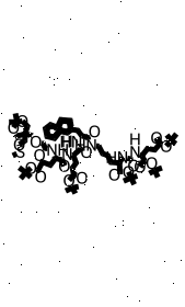 CSOCC1(COCC(=O)NC(CCC(=O)OC(C)(C)C)C(=O)NC(CCC(=O)OC(C)(C)C)C(=O)NC(Cc2ccc3ccccc3c2)C(=O)NCCCCC(NC(=O)NC(CCC(=O)OC(C)(C)C)C(=O)OC(C)(C)C)C(=O)OC(C)(C)C)COC(C)(C)OC1